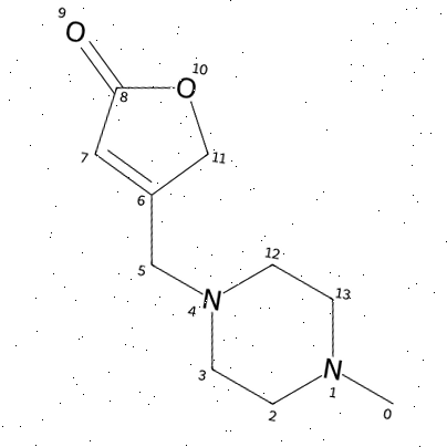 CN1CCN(CC2=CC(=O)OC2)CC1